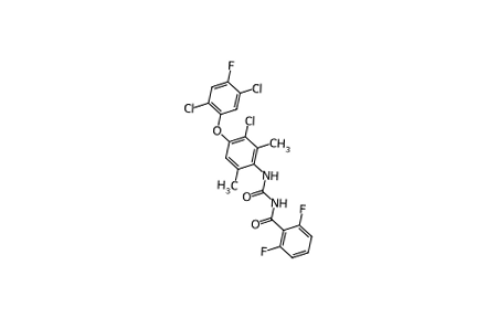 Cc1cc(Oc2cc(Cl)c(F)cc2Cl)c(Cl)c(C)c1NC(=O)NC(=O)c1c(F)cccc1F